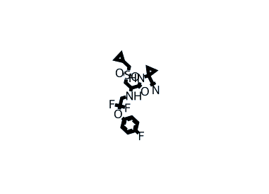 N#CC1(NC(=O)C(CS(=O)(=O)CC2CC2)NCC(F)(F)Oc2ccc(F)cc2)CC1